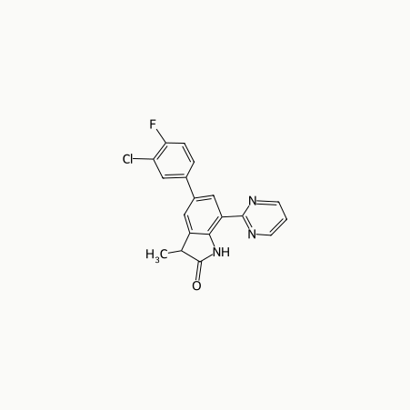 CC1C(=O)Nc2c(-c3ncccn3)cc(-c3ccc(F)c(Cl)c3)cc21